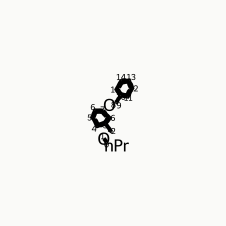 CCCOCc1cccc(OCc2ccccc2)c1